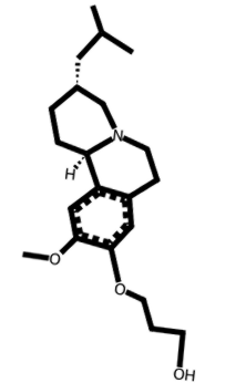 COc1cc2c(cc1OCCCO)CCN1C[C@@H](CC(C)C)CC[C@H]21